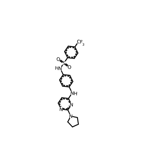 O=S(=O)(Nc1ccc(Nc2ccnc(N3CCCC3)n2)cc1)c1ccc(C(F)(F)F)cc1